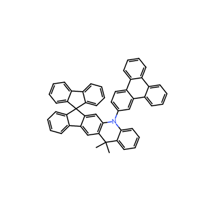 CC1(C)c2ccccc2N(c2ccc3c4ccccc4c4ccccc4c3c2)c2cc3c(cc21)-c1ccccc1C31c2ccccc2-c2ccccc21